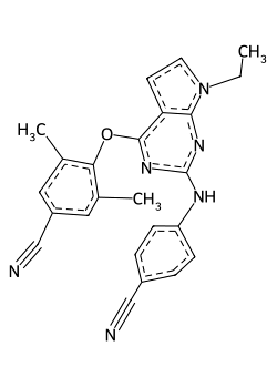 CCn1ccc2c(Oc3c(C)cc(C#N)cc3C)nc(Nc3ccc(C#N)cc3)nc21